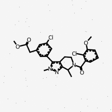 COC(=O)Cc1cc(Cl)cc(-c2c3c(nn2C)C(C)N(C(=O)c2cccc(OC)c2Cl)CC3)c1